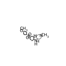 COc1ccc(S(=O)(=O)c2ccc3c(c2)[C@H]2CCN(C)CC[C@@H]2N3)cc1